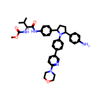 COC(=O)N[C@H](C(=O)Nc1ccc(C2CCC(c3ccc(N)cc3)N2c2ccc(-c3ccc(N4CCOCC4)nc3)cc2)cc1)C(C)C